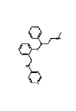 CNCCC(Oc1ccccc1CNc1ccncc1)c1ccccc1